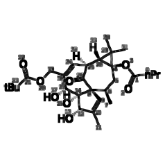 CCCC(=O)O[C@@]12C[C@@H](C)[C@]34C=C(C)[C@H](O)[C@@]3(O)[C@H](O)C(COC(=O)C(C)(C)C)=C[C@H](C4=O)[C@@H]1C2(C)C